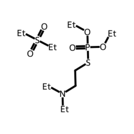 CCOP(=O)(OCC)SCCN(CC)CC.CCS(=O)(=O)CC